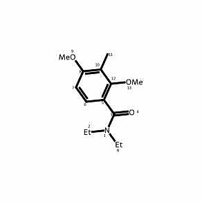 CCN(CC)C(=O)c1ccc(OC)c(C)c1OC